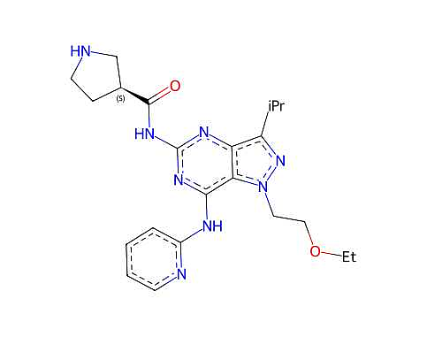 CCOCCn1nc(C(C)C)c2nc(NC(=O)[C@H]3CCNC3)nc(Nc3ccccn3)c21